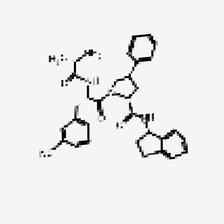 C[C@H](N)C(=O)N[C@@H](Cc1cccc(C#N)c1)C(=O)N1C[C@@H](c2ccccc2)C[C@H]1C(=O)N[C@@H]1CCc2ccccc21